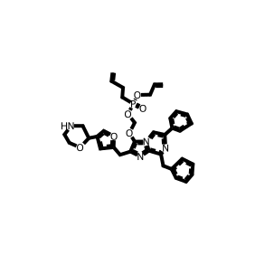 C=CCCP(=O)(OCC=C)OCOc1c(Cc2cc(C3CNCCO3)co2)nc2c(Cc3ccccc3)nc(-c3ccccc3)cn12